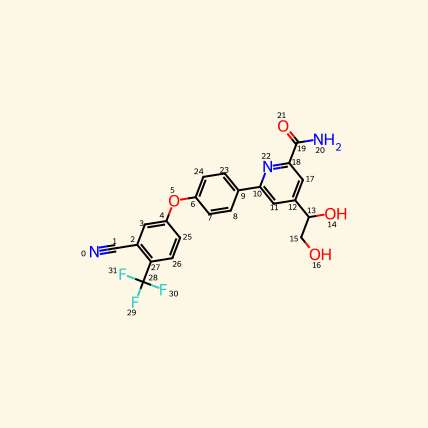 N#Cc1cc(Oc2ccc(-c3cc(C(O)CO)cc(C(N)=O)n3)cc2)ccc1C(F)(F)F